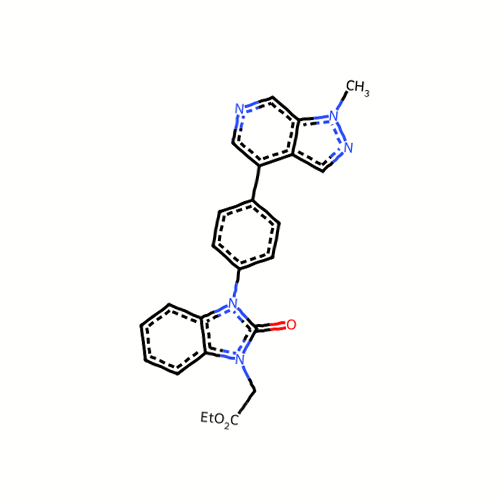 CCOC(=O)Cn1c(=O)n(-c2ccc(-c3cncc4c3cnn4C)cc2)c2ccccc21